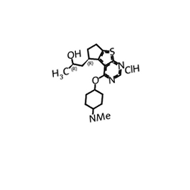 CNC1CCC(Oc2ncnc3sc4c(c23)[C@@H](C[C@@H](C)O)CC4)CC1.Cl